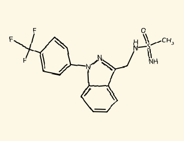 CS(=N)(=O)NCc1nn(-c2ccc(C(F)(F)F)cc2)c2ccccc12